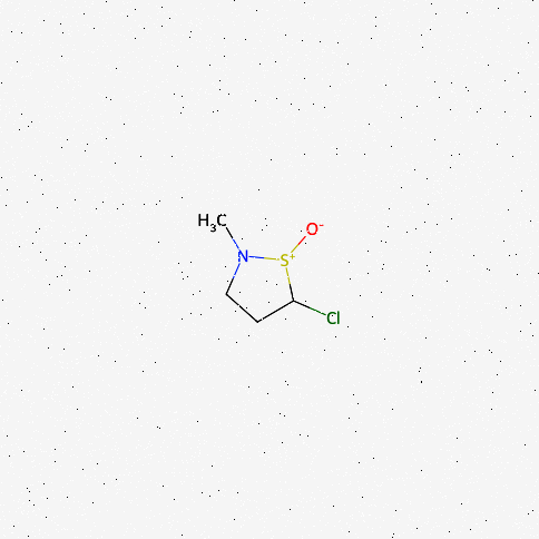 CN1CCC(Cl)[S+]1[O-]